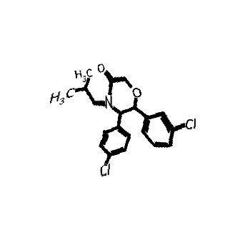 CC(C)CN1C(=O)COC(c2cccc(Cl)c2)C1c1ccc(Cl)cc1